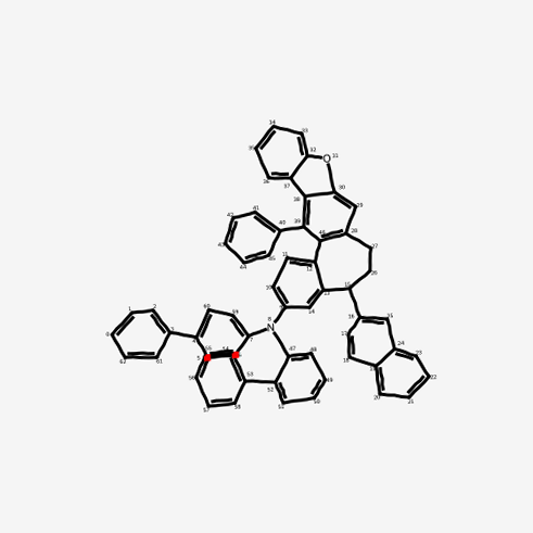 c1ccc(-c2ccc(N(c3ccc4c(c3)C(c3ccc5ccccc5c3)CCc3cc5oc6ccccc6c5c(-c5ccccc5)c3-4)c3ccccc3-c3ccccc3)cc2)cc1